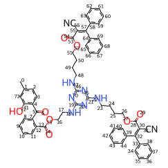 Cc1ccc(C(=O)c2ccccc2C(=O)OCCNc2nc(NCCCCOC(=O)C(C#N)=C(c3ccccc3)c3ccccc3)nc(NCCCCOC(=O)C(C#N)=C(c3ccccc3)c3ccccc3)n2)c(O)c1